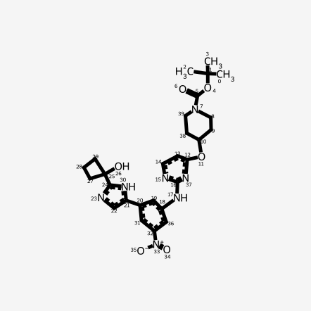 CC(C)(C)OC(=O)N1CCC(Oc2ccnc(Nc3cc(-c4cnc(C5(O)CCC5)[nH]4)cc([N+](=O)[O-])c3)n2)CC1